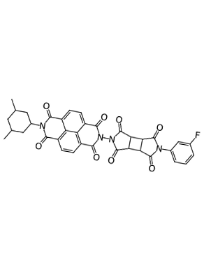 CC1CC(C)CC(N2C(=O)c3ccc4c5c(ccc(c35)C2=O)C(=O)N(N2C(=O)C3C5C(=O)N(c6cccc(F)c6)C(=O)C5C3C2=O)C4=O)C1